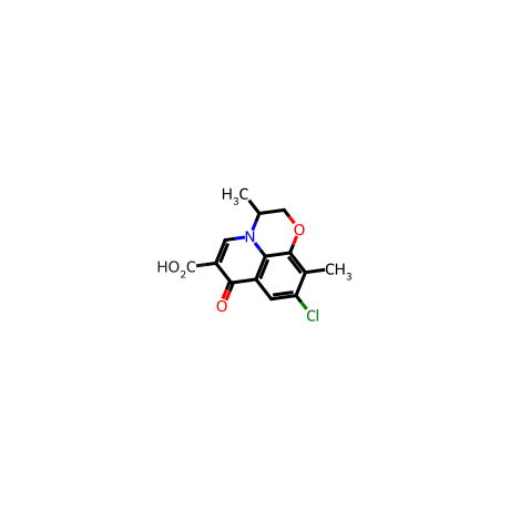 Cc1c(Cl)cc2c(=O)c(C(=O)O)cn3c2c1OCC3C